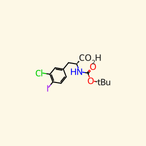 CC(C)(C)OC(=O)N[C@@H](Cc1ccc(I)c(Cl)c1)C(=O)O